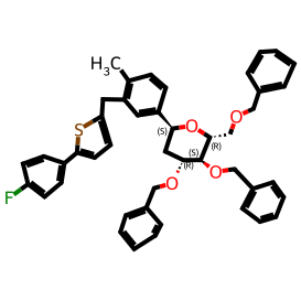 Cc1ccc([C@@H]2C[C@@H](OCc3ccccc3)[C@H](OCc3ccccc3)[C@@H](COCc3ccccc3)O2)cc1Cc1ccc(-c2ccc(F)cc2)s1